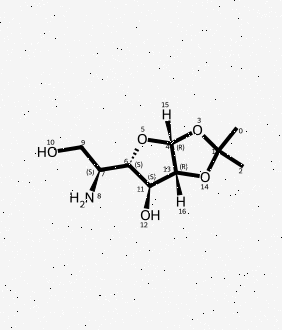 CC1(C)O[C@H]2O[C@@H]([C@@H](N)CO)[C@H](O)[C@H]2O1